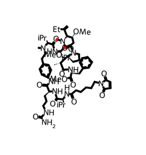 C=C(CC)[C@@H]([C@@H](CC(=O)N1CCC[C@H]1[C@H](OC)[C@@H](C)C(=O)N[C@@H](Cc1ccccc1)C(=O)OC)OC)N(C)C(=O)[C@@H](NC(=O)[C@H](C(C)C)N(C)CCc1ccc(NC(=O)[C@H](CCCNC(N)=O)NC(=O)[C@@H](NC(=O)CCCCCN2C(=O)C=CC2=O)C(C)C)cc1)C(C)C